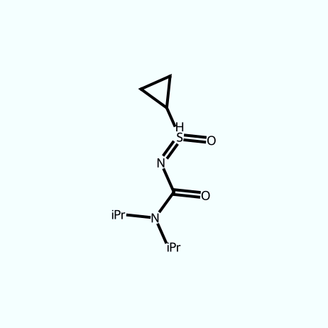 CC(C)N(C(=O)/N=[SH](=O)/C1CC1)C(C)C